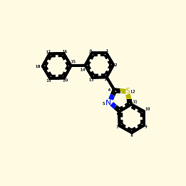 [c]1ccc(-c2nc3ccccc3s2)cc1-c1ccccc1